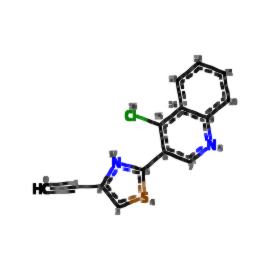 C#Cc1csc(-c2[c]nc3ccccc3c2Cl)n1